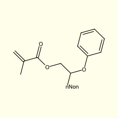 C=C(C)C(=O)OCC(CCCCCCCCC)Oc1ccccc1